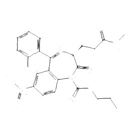 CCCSC(=N)N1C(=N)[C@H](CCC(=O)OC)N=C(c2ccccc2Cl)c2cc([N+](=O)[O-])ccc21